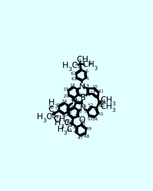 CC(C)(C)c1ccc(N2c3ccc4cc3B3c5c2cccc5N(c2ccc(C(C)(C)C)cc2)c2c3n(c3c5c(ccc23)C(C)(C)c2ccccc2O5)-c2cccc(c2)C4(C)C)cc1